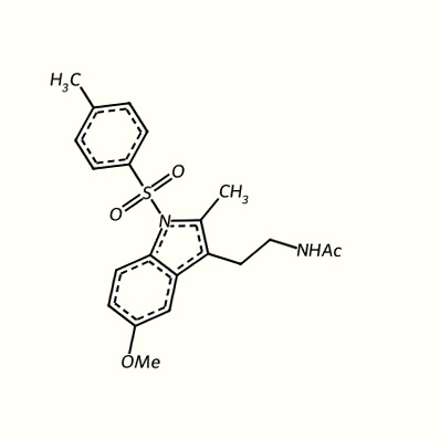 COc1ccc2c(c1)c(CCNC(C)=O)c(C)n2S(=O)(=O)c1ccc(C)cc1